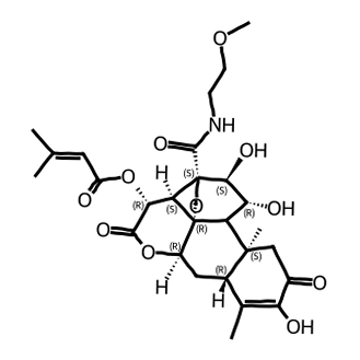 COCCNC(=O)[C@@]12OC[C@]34C([C@@H](O)[C@@H]1O)[C@@]1(C)CC(=O)C(O)=C(C)[C@@H]1C[C@H]3OC(=O)[C@H](OC(=O)C=C(C)C)[C@@H]24